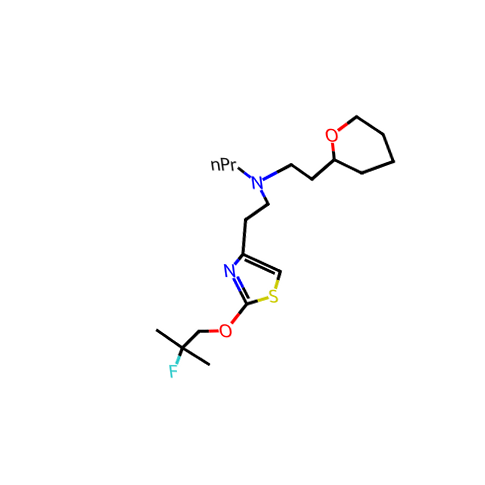 CCCN(CCc1csc(OCC(C)(C)F)n1)CCC1CCCCO1